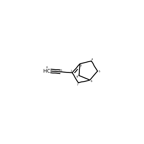 C#CC1=C2CCC(C1)C2